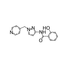 O=C(Nc1ccn(Cc2ccncc2)n1)c1ccccc1O